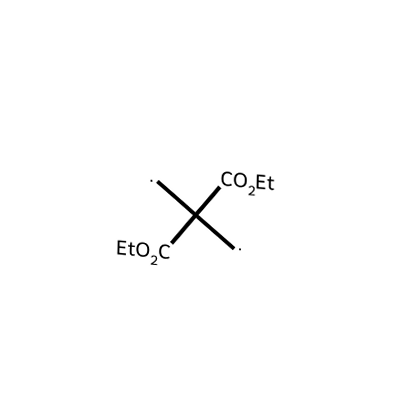 [CH2]C([CH2])(C(=O)OCC)C(=O)OCC